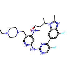 CCN1CCN(Cc2cnc(Nc3ncc(F)c(-c4cc(F)c5nc(C)n(C(C)CC=O)c5c4)n3)cc2NC)CC1